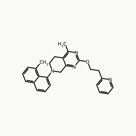 Cc1nc(OCCc2ccccn2)nc2c1CCN(c1cccc3cccc(C)c13)C2